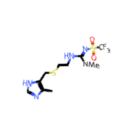 CN/C(=N\S(=O)(=O)C(F)(F)F)NCCSCc1[nH]cnc1C